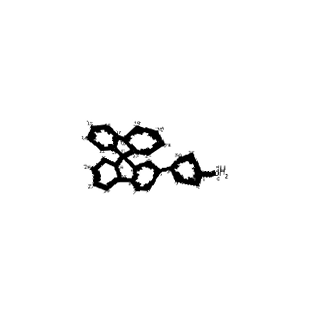 Bc1ccc(-c2ccc3c(c2)C2(c4ccccc4-c4ccccc42)C2CC=CC=C32)cc1